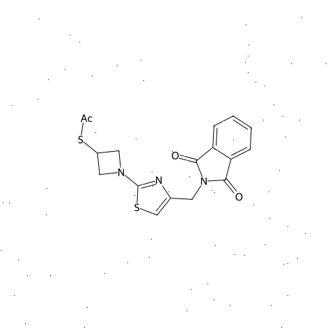 CC(=O)SC1CN(c2nc(CN3C(=O)c4ccccc4C3=O)cs2)C1